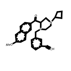 C#Cc1cccc(CN2CCN(C3CCC3)CC2C(=O)c2ccc3cc(OC)ccc3c2)c1